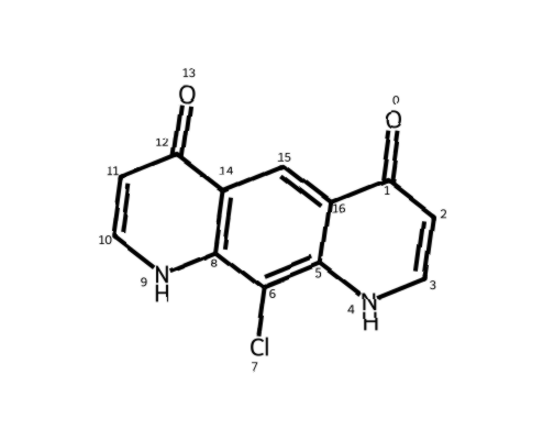 O=c1cc[nH]c2c(Cl)c3[nH]ccc(=O)c3cc12